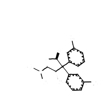 CCC(=O)C(c1cccc(C)c1)(c1cccc(C)c1)[C@H](C)CN(C)C